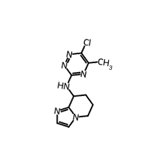 Cc1nc(NC2CCCn3ccnc32)nnc1Cl